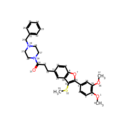 COc1ccc(-c2oc3ccc(CCC(=O)N4CCN(Cc5ccccc5)CC4)cc3c2SC)cc1OC